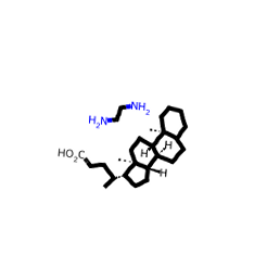 CC(CCC(=O)O)[C@H]1CC[C@H]2[C@@H]3CCC4CCCC[C@]4(C)[C@H]3CC[C@]12C.NCCN